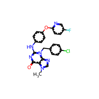 Cn1cnc2c1c(=O)nc(Nc1ccc(Oc3ccc(F)cn3)cc1)n2Cc1ccc(Cl)cc1